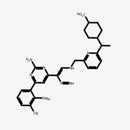 COc1c(C#N)cccc1-c1cc(/C(=C/NCc2cccc(C(C)C3CCC(C(=O)O)CC3)n2)N=N)nc(N)n1